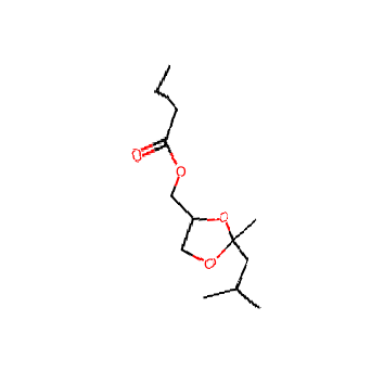 CCCC(=O)OCC1COC(C)(CC(C)C)O1